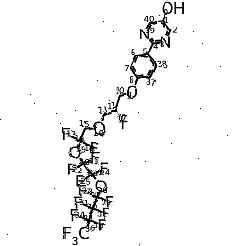 Oc1cnc(-c2ccc(OC[C@H](F)COCC(F)(F)OC(F)(F)C(F)(F)OC(F)(F)C(F)(F)C(F)(F)C(F)(F)F)cc2)nc1